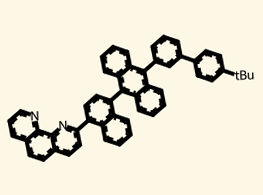 CC(C)(C)c1ccc(-c2cccc(-c3c4ccccc4c(-c4ccc(-c5ccc6ccc7cccnc7c6n5)c5ccccc45)c4ccccc34)c2)cc1